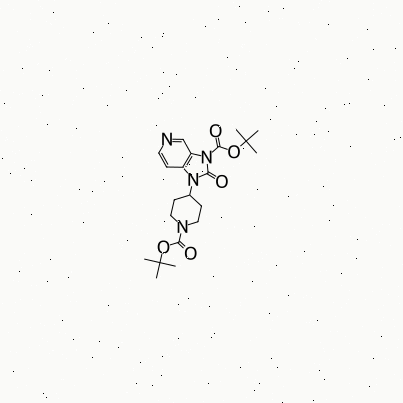 CC(C)(C)OC(=O)N1CCC(n2c(=O)n(C(=O)OC(C)(C)C)c3cnccc32)CC1